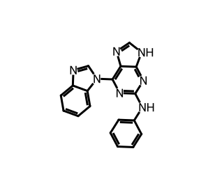 c1ccc(Nc2nc(-n3cnc4ccccc43)c3nc[nH]c3n2)cc1